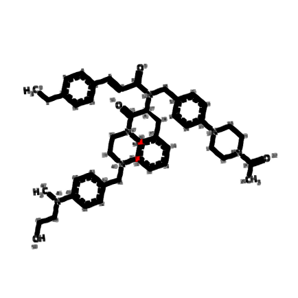 CCc1ccc(C=CC(=O)N(Cc2ccc(N3CCN(C(C)=O)CC3)cc2)[C@@H](Cc2ccccc2)C(=O)N2CCN(Cc3ccc(N(C)CCO)cc3)CC2)cc1